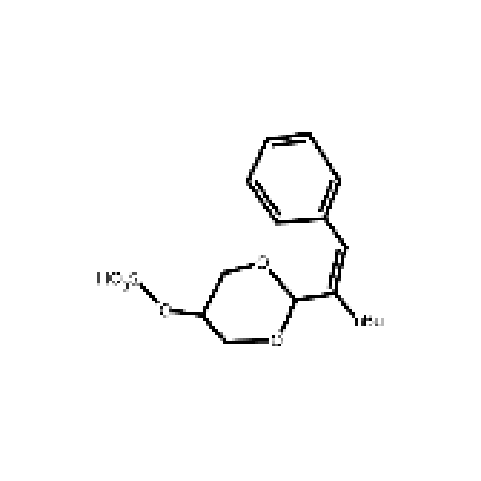 CCCCC(=Cc1ccccc1)C1OCC(OS(=O)(=O)O)CO1